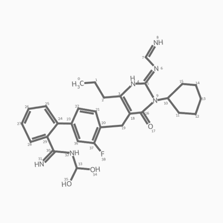 CCCc1[nH]/c(=N\C=N)n(C2CCCCC2)c(=O)c1Cc1ccc(-c2ccccc2C(=N)NC(O)O)cc1F